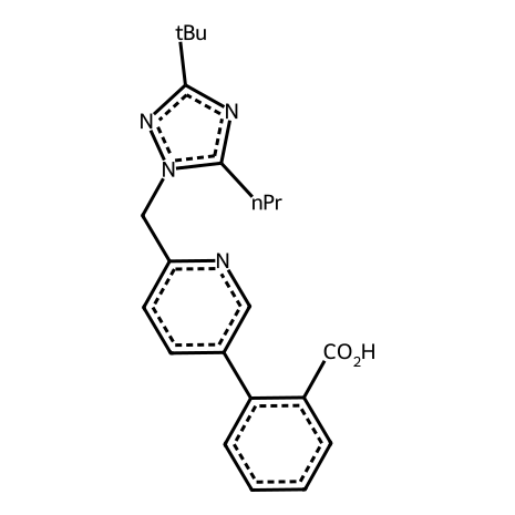 CCCc1nc(C(C)(C)C)nn1Cc1ccc(-c2ccccc2C(=O)O)cn1